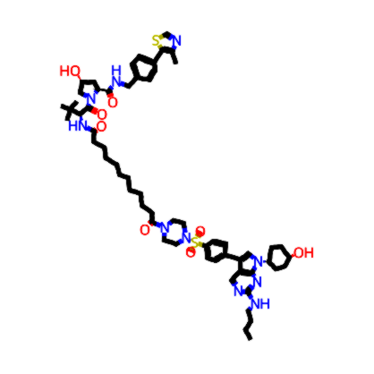 CCCCNc1ncc2c(-c3ccc(S(=O)(=O)N4CCN(C(=O)CCCCCCCCCCC(=O)N[C@H](C(=O)N5C[C@H](O)C[C@H]5C(=O)NCc5ccc(-c6scnc6C)cc5)C(C)(C)C)CC4)cc3)cn([C@H]3CC[C@H](O)CC3)c2n1